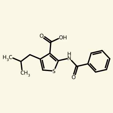 CC(C)Cc1csc(NC(=O)c2ccccc2)c1C(=O)O